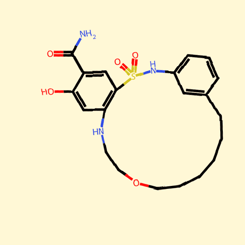 NC(=O)c1cc2c(cc1O)NCCOCCCCCCc1cccc(c1)NS2(=O)=O